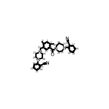 Cc1cc(C)c(C(=O)N2CCCN(c3ccccc3C#N)CC2)cc1CN1CCN(c2ccccc2C#N)CC1